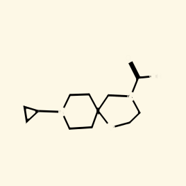 O=C(O)N1CCOC2(CCN(C3CC3)CC2)C1